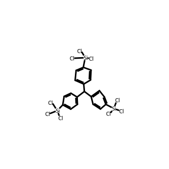 Cl[Si](Cl)(Cl)c1ccc(C(c2ccc([Si](Cl)(Cl)Cl)cc2)c2ccc([Si](Cl)(Cl)Cl)cc2)cc1